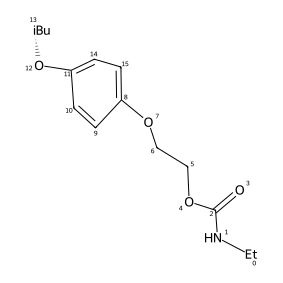 CCNC(=O)OCCOc1ccc(O[C@@H](C)CC)cc1